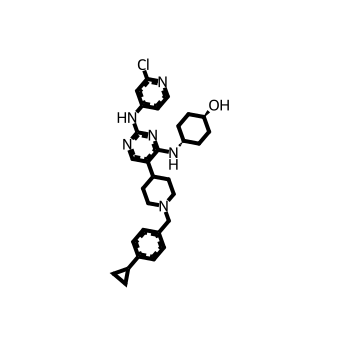 O[C@H]1CC[C@H](Nc2nc(Nc3ccnc(Cl)c3)ncc2C2CCN(Cc3ccc(C4CC4)cc3)CC2)CC1